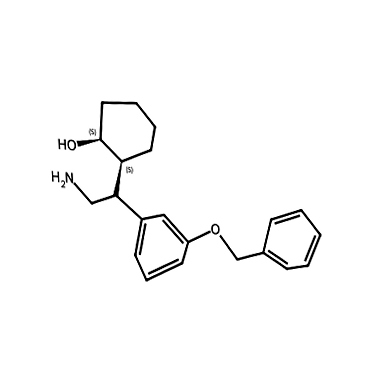 NCC(c1cccc(OCc2ccccc2)c1)[C@@H]1CCCC[C@@H]1O